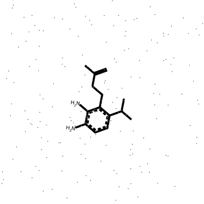 C=C(C)CCc1c(C(C)C)ccc(N)c1N